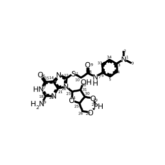 CN(C)c1ccc(NC(=O)CSc2nc3c(=O)[nH]c(N)nc3n2C2OC3COPOC3C2O)cc1